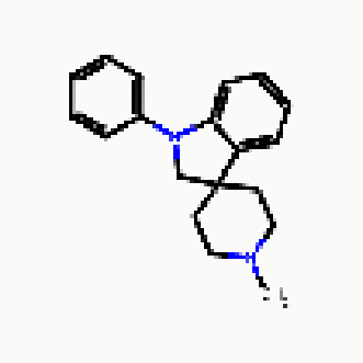 [CH2]N1CCC2(CC1)CN(c1ccccc1)c1ccccc12